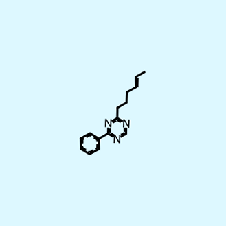 CC=CCCCc1ncnc(-c2ccccc2)n1